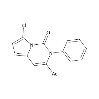 CC(=O)c1cc2ccc(Cl)n2c(=O)n1-c1ccccc1